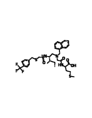 CCC(C)C(CN(CC(=O)NC(CCSC)C(=O)O)Cc1cccc2ccccc12)NC(=O)CSCc1ccc(C(F)(F)F)cc1